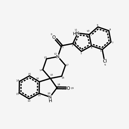 O=C(c1cc2c(Cl)cccc2[nH]1)N1CCC2(CC1)C(=O)Nc1ccccc12